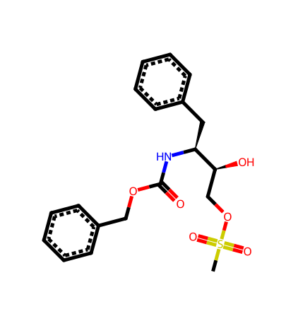 CS(=O)(=O)OC[C@H](O)[C@H](Cc1ccccc1)NC(=O)OCc1ccccc1